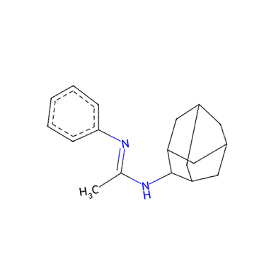 CC(=Nc1ccccc1)NC1C2CC3CC(C2)CC1C3